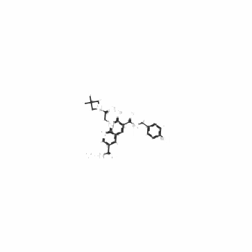 CNC(=O)c1cnc2c(c1)cc(C(=O)NCc1ccc(Cl)cc1)c(=O)n2CC(=O)N1CC(C)(C)C1